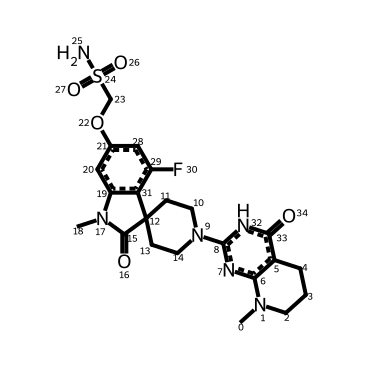 CN1CCCc2c1nc(N1CCC3(CC1)C(=O)N(C)c1cc(OCS(N)(=O)=O)cc(F)c13)[nH]c2=O